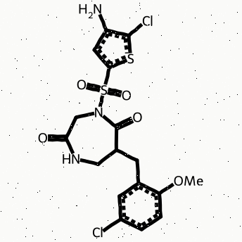 COc1ccc(Cl)cc1CC1CNC(=O)CN(S(=O)(=O)c2cc(N)c(Cl)s2)C1=O